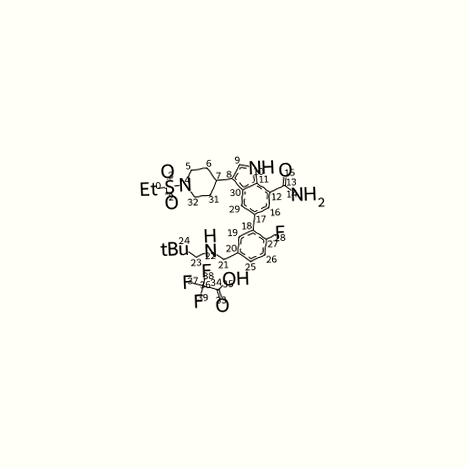 CCS(=O)(=O)N1CCC(c2c[nH]c3c(C(N)=O)cc(-c4cc(CNCC(C)(C)C)ccc4F)cc23)CC1.O=C(O)C(F)(F)F